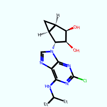 CCC(CC)Nc1nc(Cl)nc2c1ncn2[C@H]1[C@H](O)[C@H](O)[C@@H]2C[C@@H]21